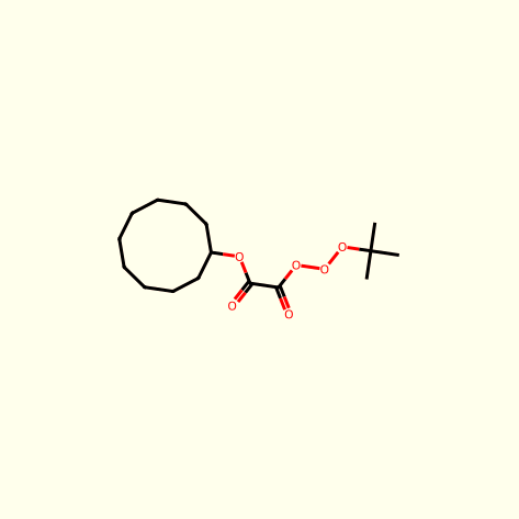 CC(C)(C)OOOC(=O)C(=O)OC1CCCCCCCCC1